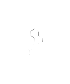 CC(C)O[Si](C)(C)c1ccccc1CCl